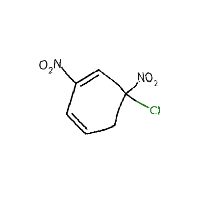 O=[N+]([O-])C1=CC(Cl)([N+](=O)[O-])CC=C1